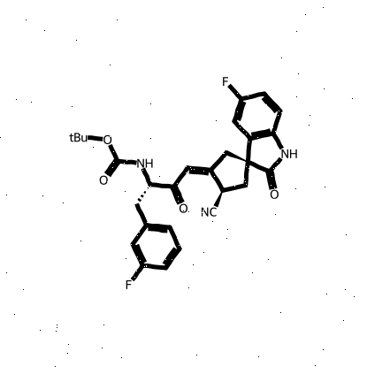 CC(C)(C)OC(=O)N[C@@H](Cc1cccc(F)c1)C(=O)/C=C1/C[C@]2(C[C@H]1C#N)C(=O)Nc1ccc(F)cc12